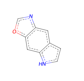 c1cc2cc3ncoc3cc2[nH]1